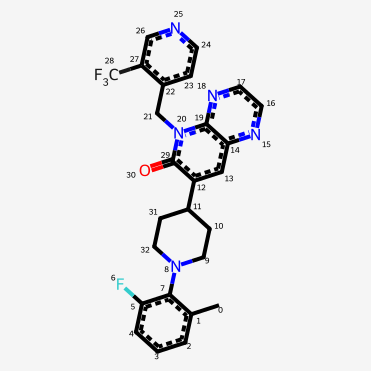 Cc1cccc(F)c1N1CCC(c2cc3nccnc3n(Cc3ccncc3C(F)(F)F)c2=O)CC1